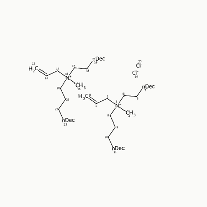 C=CC[N+](C)(CCCCCCCCCCCC)CCCCCCCCCCCCC.C=CC[N+](C)(CCCCCCCCCCCC)CCCCCCCCCCCCC.[Cl-].[Cl-]